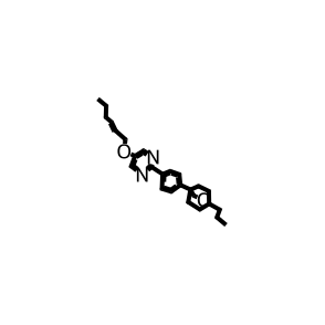 CCC/C=C/COc1cnc(-c2ccc(C34CCC(CCC)(CC3)CC4)cc2)nc1